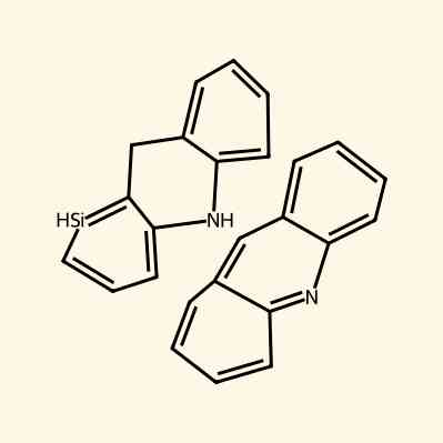 c1ccc2c(c1)Cc1[siH]cccc1N2.c1ccc2nc3ccccc3cc2c1